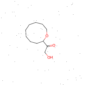 O=C(CO)C1CCCCCCCCO1